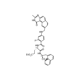 CCOC(=O)CC[C@H](NC(=O)c1ccc(NCc2ccc3ccc4nc(C)[nH]c(=O)c4c3c2)cc1F)C(=O)N[C@@H](Cc1cccc2ccccc12)C(=O)OCC